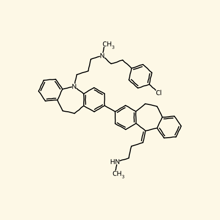 CNCC/C=C1/c2ccccc2CCc2cc(-c3ccc4c(c3)CCc3ccccc3N4CCCN(C)CCc3ccc(Cl)cc3)ccc21